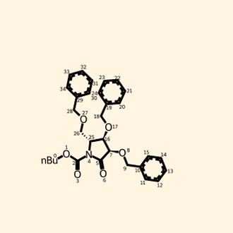 CCCCOC(=O)N1C(=O)[C@H](OCc2ccccc2)[C@H](OCc2ccccc2)[C@H]1COCc1ccccc1